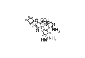 N=C(N)c1ccc(C2C3C(=O)N(Cc4ccccc4)C(=O)C3C(CO)(C(=O)O)N2CCC(N)=O)cc1